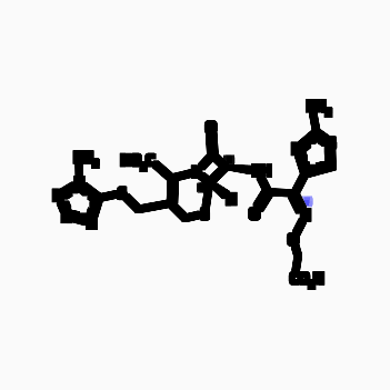 Nc1nc(/C(=N/OCC(=O)O)C(=O)N[C@@H]2C(=O)N3C(C(=O)O)=C(CSc4nnnn4N)CS[C@@H]23)cs1